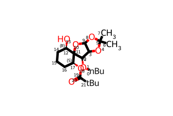 CCCCO[C@@H]1C2OC(C)(C)OC2OC12[C@H](O)CCC[C@@H]2OC(=O)C(C)(C)C